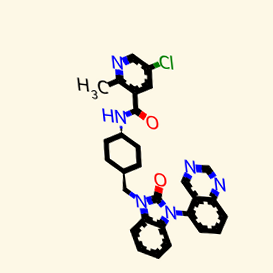 Cc1ncc(Cl)cc1C(=O)N[C@H]1CC[C@H](Cn2c(=O)n(-c3cccc4ncncc34)c3ccccc32)CC1